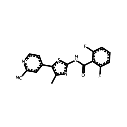 Cc1nc(NC(=O)c2c(F)cccc2F)sc1-c1ccnc(C#N)c1